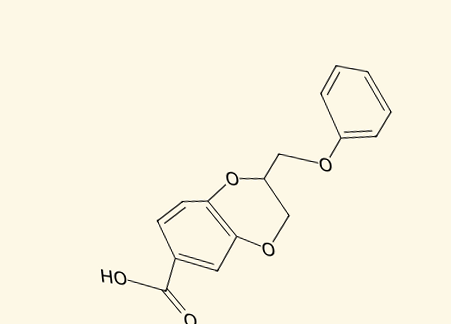 O=C(O)c1ccc2c(c1)OCC(COc1ccccc1)O2